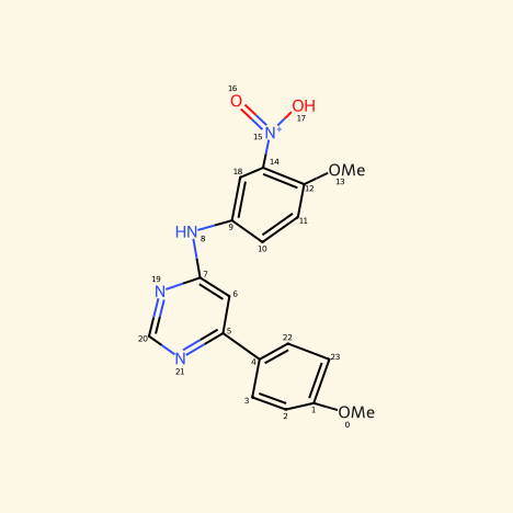 COc1ccc(-c2cc(Nc3ccc(OC)c([N+](=O)O)c3)ncn2)cc1